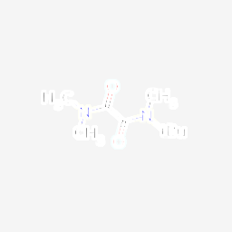 CN(C)C(=O)C(=O)N(C)C(C)(C)C